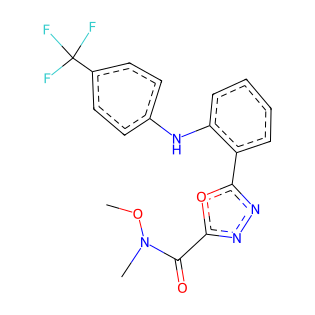 CON(C)C(=O)c1nnc(-c2ccccc2Nc2ccc(C(F)(F)F)cc2)o1